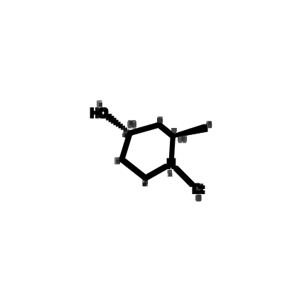 CCN1CC[C@H](O)C[C@H]1C